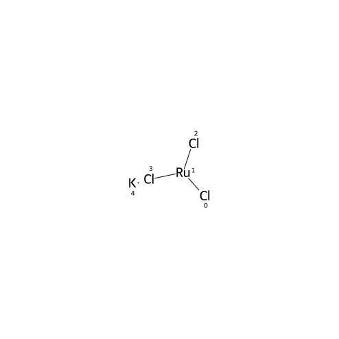 [Cl][Ru]([Cl])[Cl].[K]